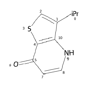 CC(C)c1csc2c(=O)cc[nH]c12